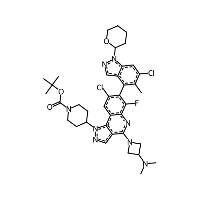 Cc1c(Cl)cc2c(cnn2C2CCCCO2)c1-c1c(Cl)cc2c(nc(N3CC(N(C)C)C3)c3cnn(C4CCN(C(=O)OC(C)(C)C)CC4)c32)c1F